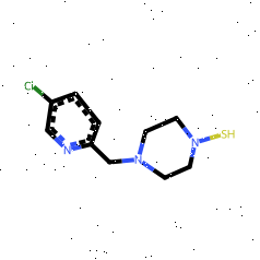 SN1CCN(Cc2ccc(Cl)cn2)CC1